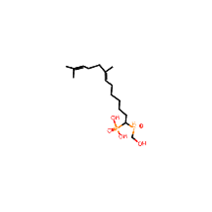 CC(C)=CCCC(C)=CCCCCCC([PH](=O)CO)P(=O)(O)O